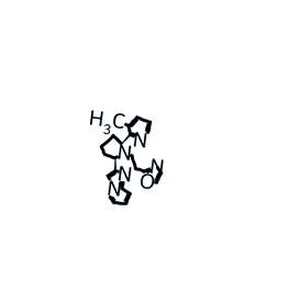 Cc1cccnc1[C@@H]1CCC[C@H](c2cn3ccccc3n2)N1CCc1ncco1